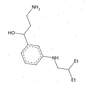 CCC(CC)CNc1cccc(C(O)CCN)c1